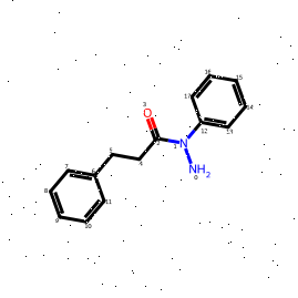 NN(C(=O)CCc1ccccc1)c1ccccc1